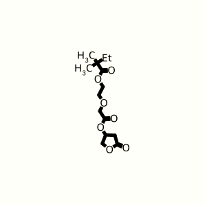 CCC(C)(C)C(=O)OCCOCC(=O)OC1COC(=O)C1